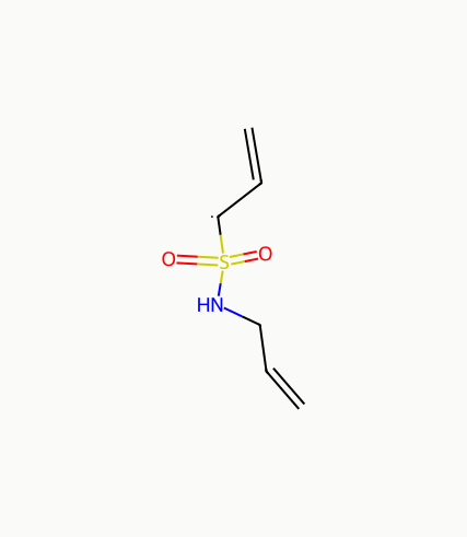 C=C[CH]S(=O)(=O)NCC=C